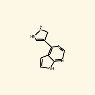 C1=C(c2ncnc3[nH]ccc23)CNN1